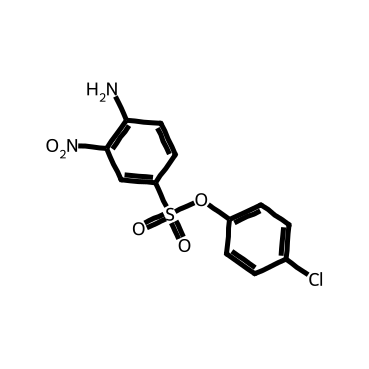 Nc1ccc(S(=O)(=O)Oc2ccc(Cl)cc2)cc1[N+](=O)[O-]